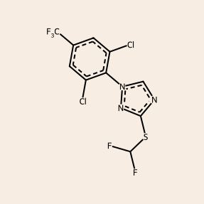 FC(F)Sc1ncn(-c2c(Cl)cc(C(F)(F)F)cc2Cl)n1